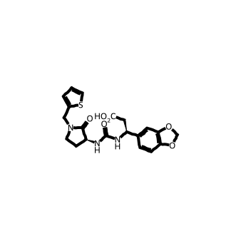 O=C(O)C[C@H](NC(=O)N[C@H]1CCN(Cc2cccs2)C1=O)c1ccc2c(c1)OCO2